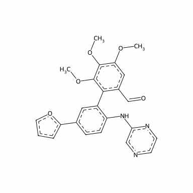 COc1cc(C=O)c(-c2cc(-c3ccco3)ccc2Nc2cnccn2)c(OC)c1OC